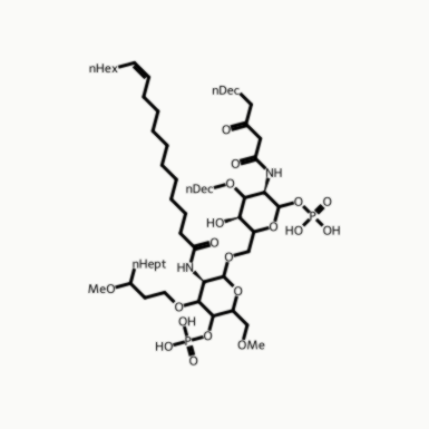 CCCCCC/C=C\CCCCCCCCCC(=O)N[C@H]1C(OCC2OC(OP(=O)(O)O)[C@H](NC(=O)CC(=O)CCCCCCCCCCC)C(OCCCCCCCCCC)[C@@H]2O)OC(COC)C(OP(=O)(O)O)C1OCCC(CCCCCCC)OC